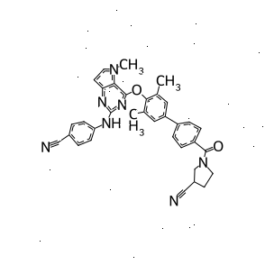 Cc1cc(-c2ccc(C(=O)N3CCC(C#N)C3)cc2)cc(C)c1Oc1nc(Nc2ccc(C#N)cc2)nc2ccn(C)c12